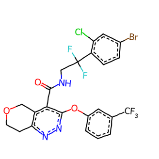 O=C(NCC(F)(F)c1ccc(Br)cc1Cl)c1c(Oc2cccc(C(F)(F)F)c2)nnc2c1COCC2